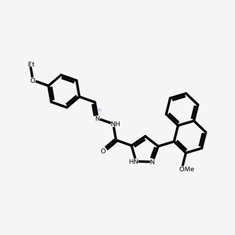 CCOc1ccc(/C=N/NC(=O)c2cc(-c3c(OC)ccc4ccccc34)n[nH]2)cc1